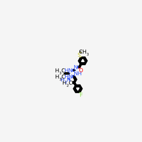 C=C(/C=C(\NN)N/C(=N\C(=O)c1cccc(SC)c1)NCC(C)C)c1ccc(F)cc1